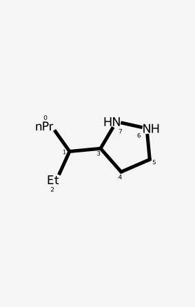 CCCC(CC)C1CCNN1